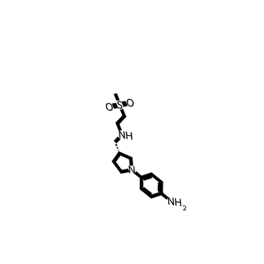 CS(=O)(=O)CCNC[C@H]1CCN(c2ccc(N)cc2)C1